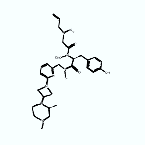 C=CCN(N)CC(=O)N(C=O)[C@@H](Cc1ccc(O)cc1)C(=O)N(CC)Cc1cccc(N2CC(N3CCN(C)C[C@@H]3C)C2)n1